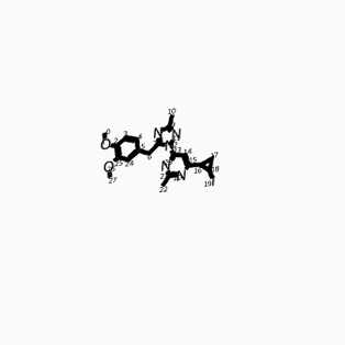 COc1ccc(Cc2nc(C)nn2-c2cc(C3CC3I)nc(C)n2)cc1OC